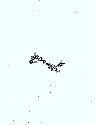 C#Cc1ccc(CNC(=O)[C@@H]2C[C@@H](O)CN2C(=O)[C@@H](NC(=O)N2CC3(CC(N4CCC(c5cnc(N6CCC7Nc8nnc(-c9ccccc9O)cc8C7[C@H]6C)nc5)CC4)C3)C2)C(C)(C)C)cc1F